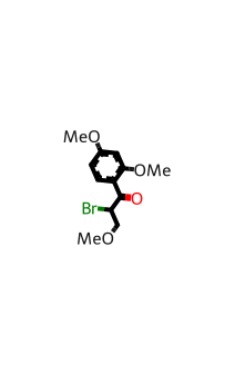 COCC(Br)C(=O)c1ccc(OC)cc1OC